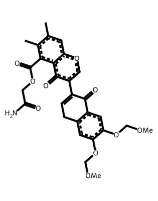 COCOc1cc2c(cc1OCOC)C(=O)C(c1coc3cc(C)c(C)c(C(=O)OCC(N)=O)c3c1=O)=CC2